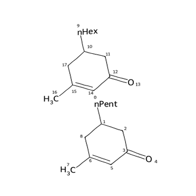 CCCCCC1CC(=O)C=C(C)C1.CCCCCCC1CC(=O)C=C(C)C1